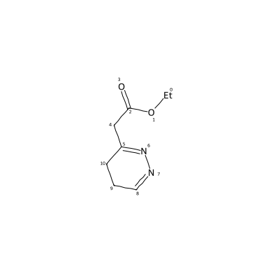 CCOC(=O)CC1=NN=CCC1